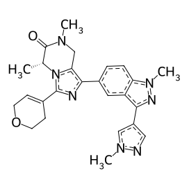 C[C@@H]1C(=O)N(C)Cc2c(-c3ccc4c(c3)c(-c3cnn(C)c3)nn4C)nc(C3=CCOCC3)n21